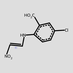 O=C(O)c1cc(Cl)ccc1N/C=C/[N+](=O)[O-]